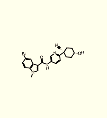 Cn1cc(C(=O)Nc2ccc([C@]3(C#N)CC[C@@H](O)CC3)nc2)c2cc(Br)ccc21